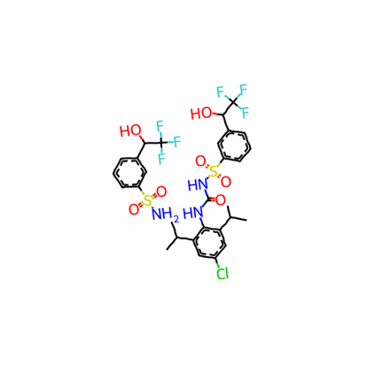 CC(C)c1cc(Cl)cc(C(C)C)c1NC(=O)NS(=O)(=O)c1cccc(C(O)C(F)(F)F)c1.NS(=O)(=O)c1cccc(C(O)C(F)(F)F)c1